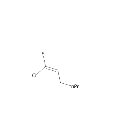 [CH2]CCCC=C(F)Cl